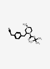 CN1CCN(C(=O)OC(C)(C)C)C(Cc2ccc(CC#N)cc2)C1